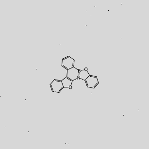 c1ccc2c(c1)OB1c3ccccc3-c3c(oc4ccccc34)N12